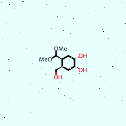 COC(OC)[C@H]1C[C@H](O)[C@H](O)C[C@H]1CO